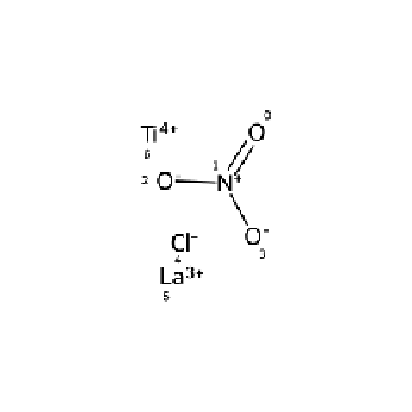 O=[N+]([O-])[O-].[Cl-].[La+3].[Ti+4]